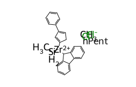 CCCCCC.C[SiH2][Zr+2]([C]1=CC(c2ccccc2)=CC1)[CH]1c2ccccc2-c2ccccc21.[Cl-].[Cl-]